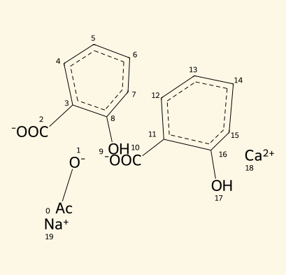 CC(=O)[O-].O=C([O-])c1ccccc1O.O=C([O-])c1ccccc1O.[Ca+2].[Na+]